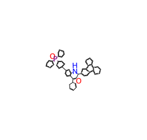 O=P(c1ccccc1)(c1ccccc1)c1ccc(-c2ccc3c(c2)NC(c2ccc4c5ccccc5c5ccccc5c4c2)C2=C3C3CC=CC=C3O2)cc1